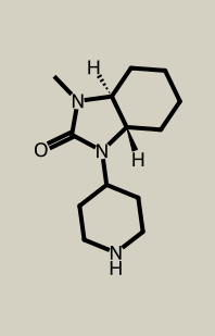 CN1C(=O)N(C2CCNCC2)[C@H]2CCCC[C@@H]21